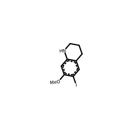 COc1cc2c(cc1I)CCCN2